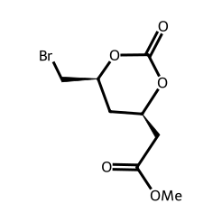 COC(=O)C[C@H]1C[C@@H](CBr)OC(=O)O1